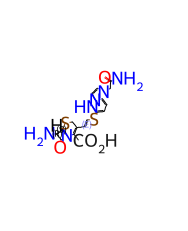 NC(=O)CN1C=CN2NC(S/C=C/C3=C(C(=O)O)N4C(=O)[C@@H](N)[C@@H]4SC3)=CC=C12